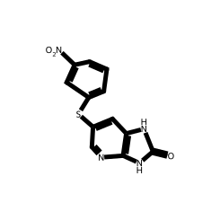 O=c1[nH]c2cc(Sc3cccc([N+](=O)[O-])c3)cnc2[nH]1